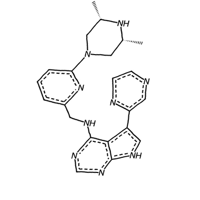 C[C@@H]1CN(c2cccc(CNc3ncnc4[nH]cc(-c5cnccn5)c34)n2)C[C@H](C)N1